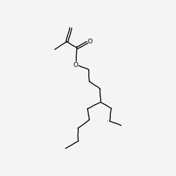 C=C(C)C(=O)OCCCC(C[CH]C)CCCCC